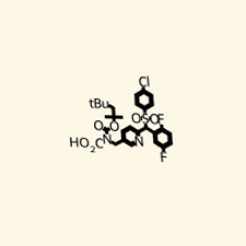 CC(C)(C)CC(C)(C)OC(=O)N(Cc1ccc(C(c2cc(F)ccc2F)S(=O)(=O)c2ccc(Cl)cc2)nc1)C(=O)O